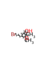 COc1cc(/C=C/CBr)cc(CO)c1C